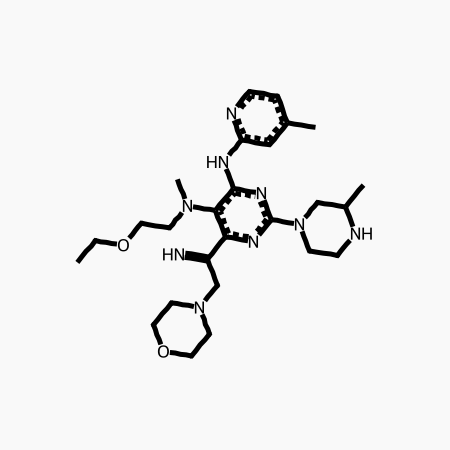 CCOCCN(C)c1c(Nc2cc(C)ccn2)nc(N2CCNC(C)C2)nc1C(=N)CN1CCOCC1